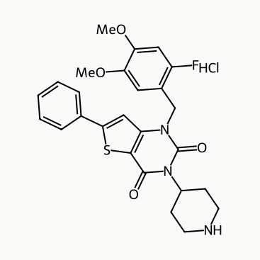 COc1cc(F)c(Cn2c(=O)n(C3CCNCC3)c(=O)c3sc(-c4ccccc4)cc32)cc1OC.Cl